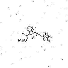 COC=C(c1c(Br)n(COCC[Si](C)(C)C)c2ncccc12)C1CC1